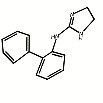 c1ccc(-c2ccccc2NC2=NCCN2)cc1